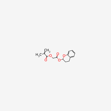 C=C(C)C(=O)OCC(=O)OC1CCc2ccccc2O1